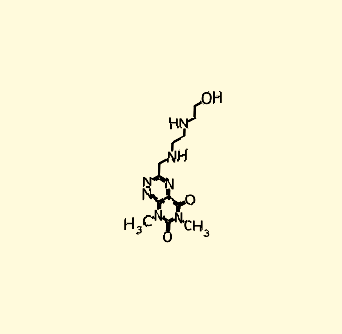 Cn1c(=O)c2nc(CNCCNCCO)nnc2n(C)c1=O